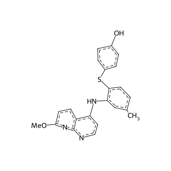 COc1ccc2c(Nc3cc(C)ccc3Sc3ccc(O)cc3)ccnc2n1